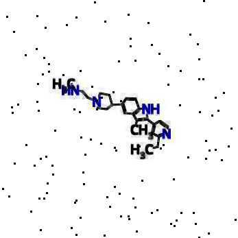 CCc1cc(-c2[nH]c3ccc(C4CCN(CCNC)CC4)cc3c2C)ccn1